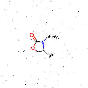 CCCCCN1C(=O)OCC1C(C)C